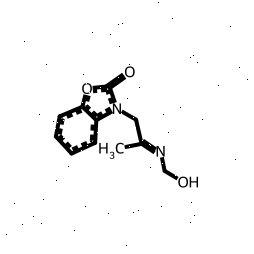 C/C(Cn1c(=O)oc2ccccc21)=N\CO